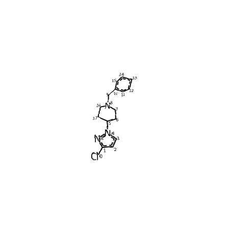 Clc1ccn(C2CCN(Cc3ccccc3)CC2)n1